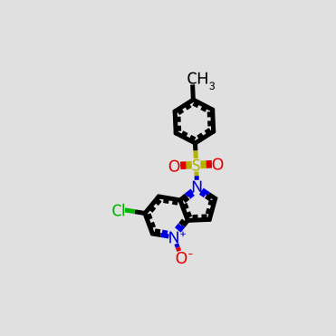 Cc1ccc(S(=O)(=O)n2ccc3c2cc(Cl)c[n+]3[O-])cc1